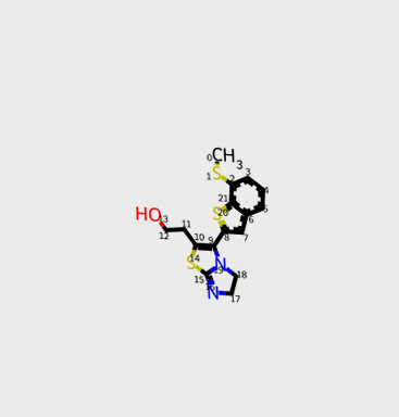 CSc1cccc2cc(C3=C(CCO)SC4=NCCN43)sc12